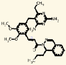 CCCC1c2ccccc2C=NN1C(=O)/C=C/c1cc(Cc2c(N)nc(N)nc2CC)cc(OC)c1OC